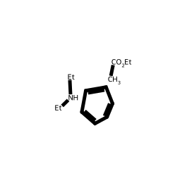 CCNCC.CCOC(C)=O.c1ccccc1